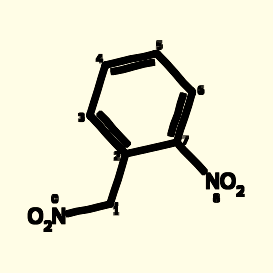 O=[N+]([O-])[CH]c1ccccc1[N+](=O)[O-]